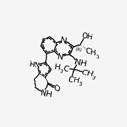 C[C@@H](O)c1nc2cccc(-c3cc4c([nH]3)CCNC4=O)c2nc1NC(C)(C)C